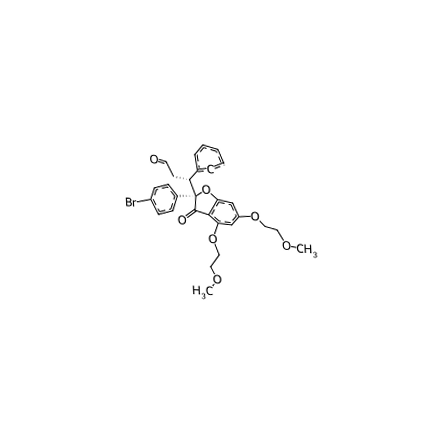 COCCOc1cc(OCCOC)c2c(c1)O[C@](c1ccc(Br)cc1)([C@H](CC=O)c1ccccc1)C2=O